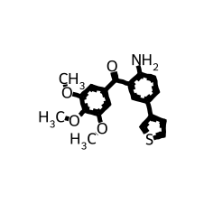 COc1cc(C(=O)c2cc(-c3ccsc3)ccc2N)cc(OC)c1OC